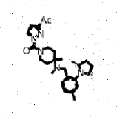 CC(=O)c1ccn(C(=O)N2CCC(C)(N(C)Cc3ccc(C)cc3N3[C@@H](C)CC[C@@H]3C)CC2)n1